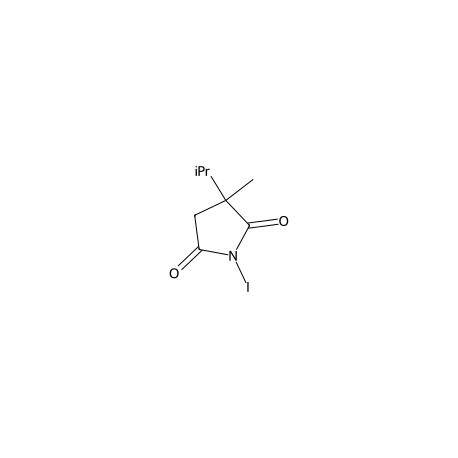 CC(C)C1(C)CC(=O)N(I)C1=O